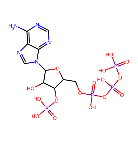 Nc1ncnc2c1ncn2C1OC(COP(=O)(O)OP(=O)(O)OP(=O)(O)O)C(OP(=O)(O)O)C1O